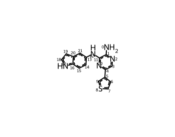 Nc1ncc(-c2ccsc2)nc1Nc1ccc2[nH]ccc2c1